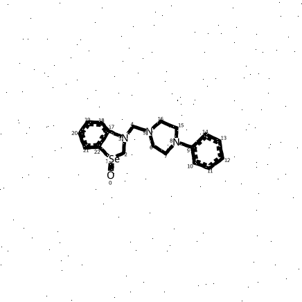 O=[Se]1CN(CN2CCN(c3ccccc3)CC2)c2ccccc21